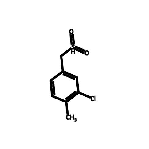 Cc1ccc(C[SH](=O)=O)cc1Cl